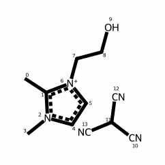 Cc1n(C)cc[n+]1CCO.N#CC(C#N)C#N